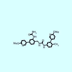 COc1ccc(-c2ccc(CNC(=O)Nc3ccc(C)c(-c4ccc(OC)nc4)c3)c(NC(N)=O)c2)cn1